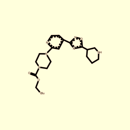 CC(C)(C)COC(=O)N1CCN(c2cc(-c3noc(C4CCCNC4)n3)ccn2)CC1